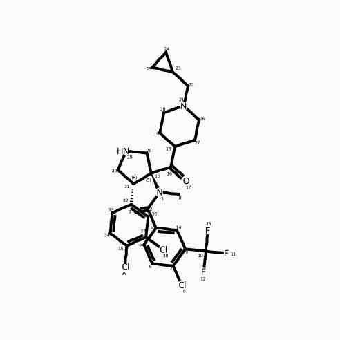 CN(C(=O)c1ccc(Cl)c(C(F)(F)F)c1)[C@]1(C(=O)C2CCN(CC3CC3)CC2)CNC[C@H]1c1ccc(Cl)c(Cl)c1